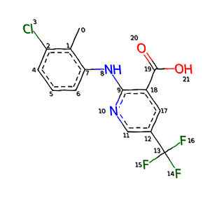 Cc1c(Cl)cccc1Nc1ncc(C(F)(F)F)cc1C(=O)O